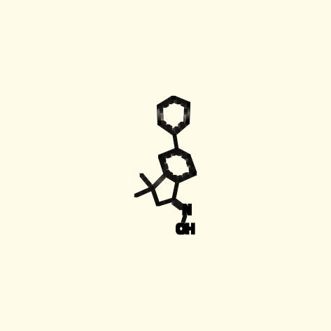 CC1(C)C/C(=N\O)c2ccc(-c3ccccc3)cc21